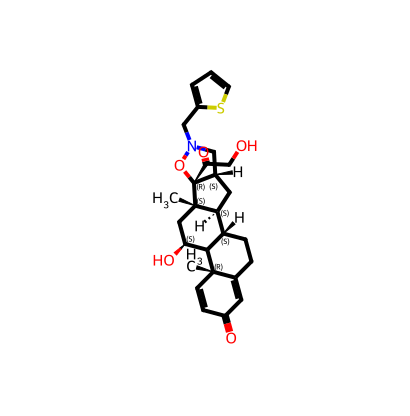 C[C@]12C=CC(=O)C=C1CC[C@@H]1C2[C@@H](O)C[C@@]2(C)[C@H]1C[C@H]1CN(Cc3cccs3)O[C@]12C(=O)CO